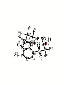 O=S(=O)(O)C(F)(F)C(F)(F)S(=O)(=O)c1ccc(Cl)c(Cl)c1S(=O)(=O)C(F)(F)C(F)(F)S(=O)(=O)Cl